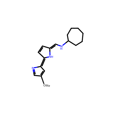 COC1=CC(=c2ccc(=CNC3CCCCCC3)[nH]2)N=C1